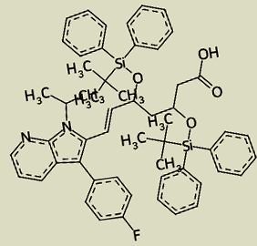 CC(C)n1c(C=CC(CC(CC(=O)O)O[Si](c2ccccc2)(c2ccccc2)C(C)(C)C)O[Si](c2ccccc2)(c2ccccc2)C(C)(C)C)c(-c2ccc(F)cc2)c2cccnc21